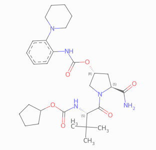 CC(C)(C)[C@H](NC(=O)OC1CCCC1)C(=O)N1C[C@H](OC(=O)Nc2ccccc2N2CCCCC2)C[C@H]1C(N)=O